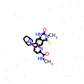 CNC(=O)c1ccc(N2CC3CCC(C2)N3Cc2ccc3c(=S)n(C)c(=O)[nH]c3c2)c(F)n1